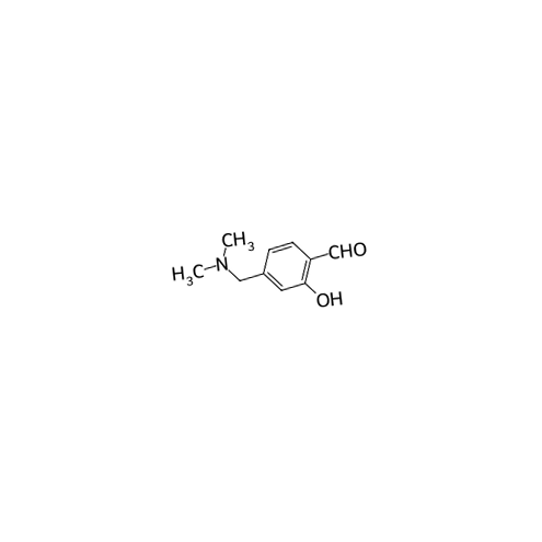 CN(C)Cc1ccc(C=O)c(O)c1